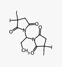 CCC(N1C(=O)CC(I)(I)C1=O)N1C(=O)CC(I)(I)C1=O